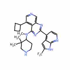 CN(c1nc(-c2ccnc3[nH]c(C(F)(F)F)cc23)nc2cncc(C3CCC3)c12)C1CCNCC1(C)C